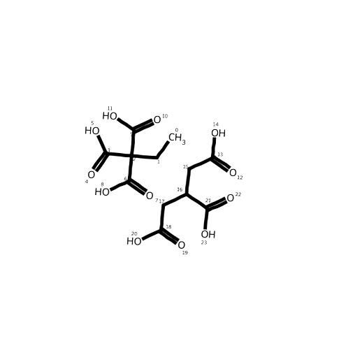 CCC(C(=O)O)(C(=O)O)C(=O)O.O=C(O)CC(CC(=O)O)C(=O)O